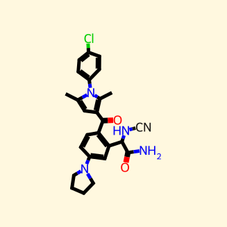 Cc1cc(C(=O)c2ccc(N3CCCC3)cc2C(NC#N)C(N)=O)c(C)n1-c1ccc(Cl)cc1